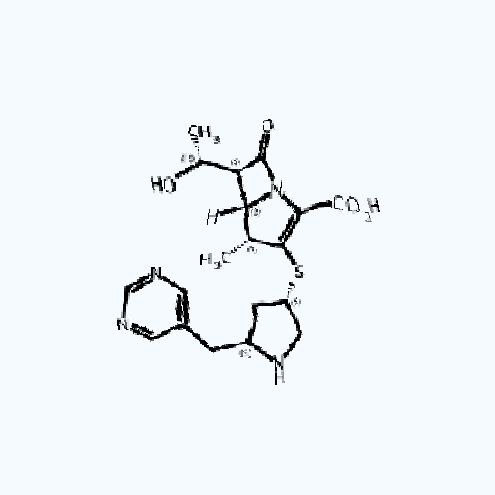 C[C@@H](O)[C@H]1C(=O)N2C(C(=O)O)=C(S[C@@H]3CN[C@@H](Cc4cncnc4)C3)[C@H](C)[C@H]12